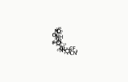 Cc1nn(-c2ccc(C#N)c(C(F)(F)F)c2)c(C)c1-c1cnc(CNC(=O)c2ccccn2)c(F)c1